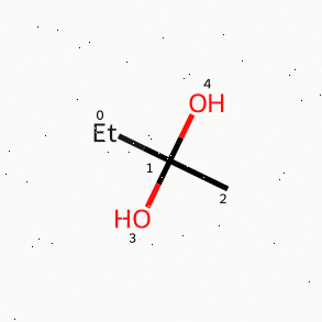 [CH2]CC(C)(O)O